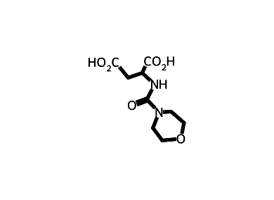 O=C(O)CC(NC(=O)N1CCOCC1)C(=O)O